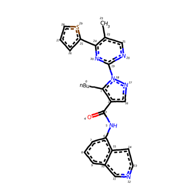 CCCCc1c(C(=O)Nc2cccc3cnccc23)cnn1-c1ncc(C)c(-c2cccs2)n1